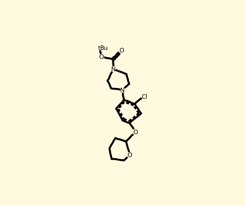 CC(C)(C)OC(=O)N1CCN(c2ccc(OC3CCCCO3)cc2Cl)CC1